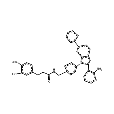 Nc1ncccc1-c1nc2ccc(-c3ccccc3)nc2n1-c1ccc(CNC(=O)CCc2ccc(C=O)c(O)c2)cc1